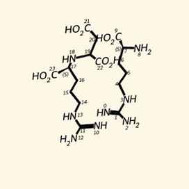 N=C(N)NCCC[C@H](N)C(=O)O.N=C(N)NCCC[C@H](NC(CC(=O)O)C(=O)O)C(=O)O